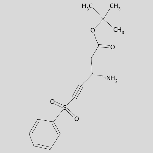 CC(C)(C)OC(=O)C[C@H](N)C#CS(=O)(=O)c1ccccc1